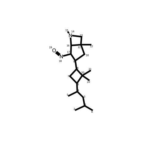 CC(C)CC(C)C1CC(C2CC3(C)CN(C)C3C2N=O)C1(C)C